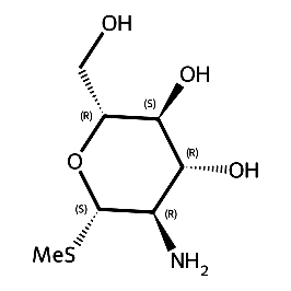 CS[C@@H]1O[C@H](CO)[C@@H](O)[C@H](O)[C@H]1N